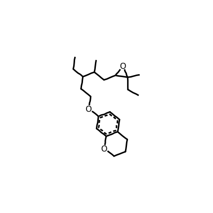 CCC(CCOc1ccc2c(c1)OCCC2)C(C)CC1OC1(C)CC